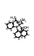 CCC(C#N)(C(=O)O)C(c1ccccc1C(C)C)c1cccc2ccccc12